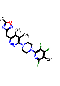 Cc1nc(Cc2nnc(N3CCN(c4nc(F)c(C)c(F)c4F)CC3)c(C)c2C)no1